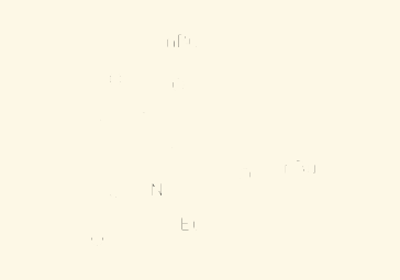 CCCCOCC1N(CC)C(=O)CC2OC21OCCCC